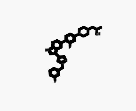 CC(O)CN1CCN(c2ccc(-c3cnc4[nH]cc(-c5cnn(Cc6cccc(F)c6)c5)c4c3)c(F)c2)CC1